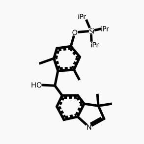 Cc1cc(O[Si](C(C)C)(C(C)C)C(C)C)cc(C)c1C(O)c1ccc2c(c1)C(C)(C)C=N2